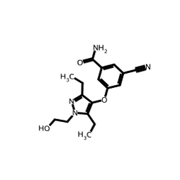 CCc1nn(CCO)c(CC)c1Oc1cc(C#N)cc(C(N)=O)c1